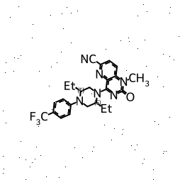 CC[C@H]1CN(c2nc(=O)n(C)c3ccc(C#N)nc23)[C@@H](CC)CN1c1ccc(C(F)(F)F)cc1